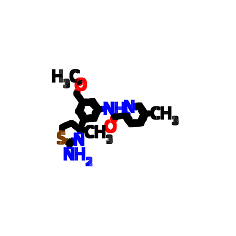 COCc1cc(NC(=O)c2ccc(C)cn2)cc(C2(C)CCSC(N)=N2)c1